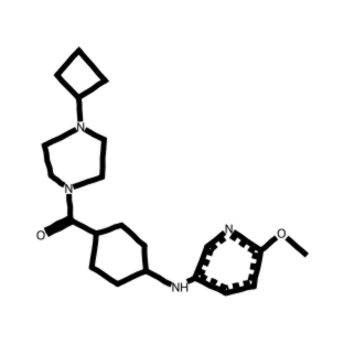 COc1ccc(NC2CCC(C(=O)N3CCN(C4CCC4)CC3)CC2)cn1